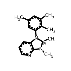 Cc1cc(C)c(C)c(N2c3cccnc3N(C)[C@@H]2C)c1